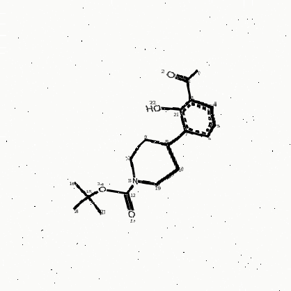 CC(=O)c1cccc(C2CCN(C(=O)OC(C)(C)C)CC2)c1O